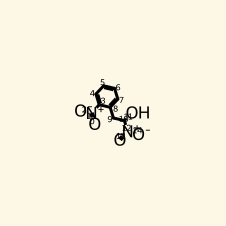 O=[N+]([O-])c1ccccc1CC(O)[N+](=O)[O-]